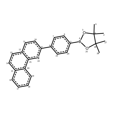 CC1(C)OB(c2ccc(-c3ccc4ccc5ccccc5c4n3)cc2)OC1(C)C